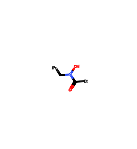 CCC(=O)N(O)CC(C)C